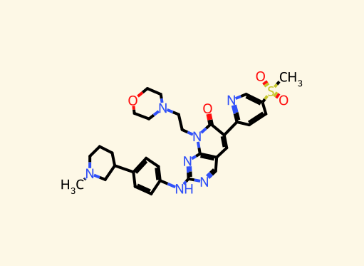 CN1CCCC(c2ccc(Nc3ncc4cc(-c5ccc(S(C)(=O)=O)cn5)c(=O)n(CCN5CCOCC5)c4n3)cc2)C1